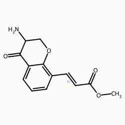 COC(=O)/C=C/c1cccc2c1OCC(N)C2=O